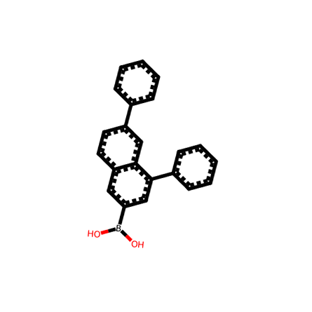 OB(O)c1cc(-c2ccccc2)c2cc(-c3ccccc3)ccc2c1